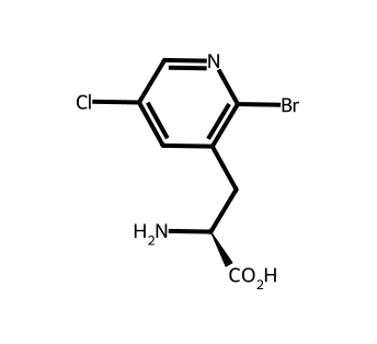 N[C@@H](Cc1cc(Cl)cnc1Br)C(=O)O